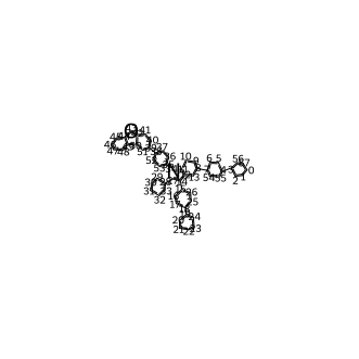 c1ccc(-c2ccc(-c3ccc4c(c3)c(-c3ccc(-c5ccccc5)cc3)c(-c3ccccc3)n4-c3ccc(-c4ccc5oc6ccccc6c5c4)cc3)cc2)cc1